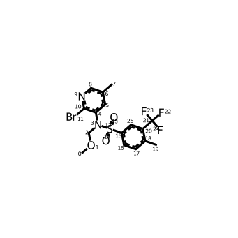 COCN(c1cc(C)cnc1Br)S(=O)(=O)c1ccc(C)c(C(F)(F)F)c1